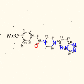 COc1ccc(CC(=O)N2CCN(c3ccc4nncn4n3)CC2)cc1C